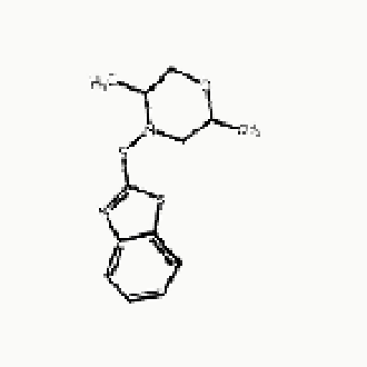 CC1CN(Sc2nc3ccccc3s2)C(C)CO1